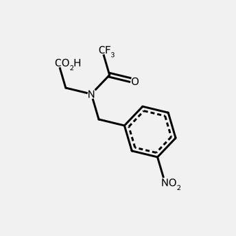 O=C(O)CN(Cc1cccc([N+](=O)[O-])c1)C(=O)C(F)(F)F